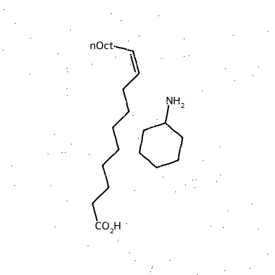 CCCCCCCC/C=C\CCCCCCCC(=O)O.NC1CCCCC1